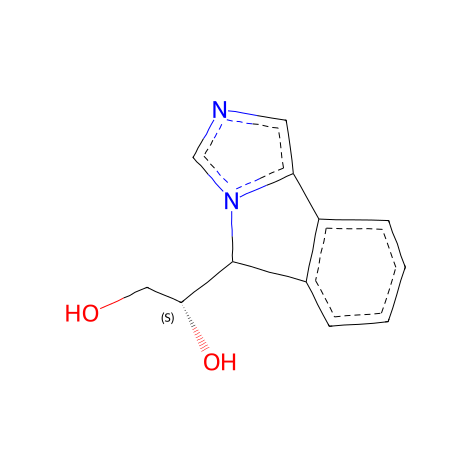 OC[C@@H](O)C1c2ccccc2-c2cncn21